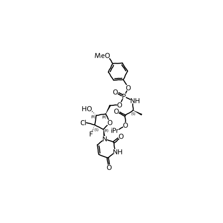 COc1ccc(OP(=O)(N[C@@H](C)C(=O)OC(C)C)OC[C@H]2O[C@@H](n3ccc(=O)[nH]c3=O)[C@@](F)(Cl)[C@@H]2O)cc1